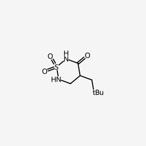 CC(C)(C)CC1CNS(=O)(=O)NC1=O